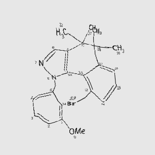 COc1cccc(-n2ncc3c2-c2c(Br)cccc2C(C)(C)C3(C)C)c1